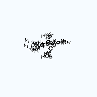 Cc1cc(C(=O)NC(CN(C)C)CN(C)C)ccc1-c1ccc(C[C@H](NC(=O)[C@H]2CC[C@H](CNC(=O)O)CC2)C(=O)Nc2ccc(-c3nn[nH]n3)cc2)cc1.O=C(O)C(F)(F)F